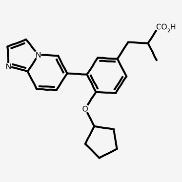 CC(Cc1ccc(OC2CCCC2)c(-c2ccc3nccn3c2)c1)C(=O)O